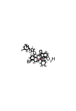 Cc1cnnc(N2CCC(Oc3ccc(Br)c4c3[C@@H](CN3Cc5ccccc5C3=O)N(C(=O)[C@@H]3CCCC[C@@H]3C(=O)O)CC4)C2)c1